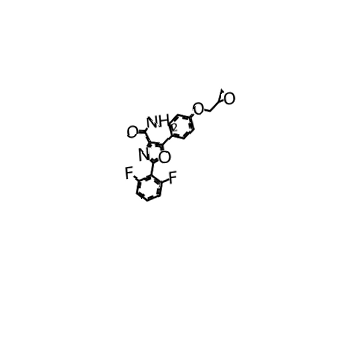 NC(=O)c1nc(-c2c(F)cccc2F)oc1-c1ccc(OCC2CO2)cc1